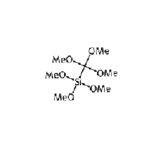 COC(OC)(OC)[Si](OC)(OC)OC